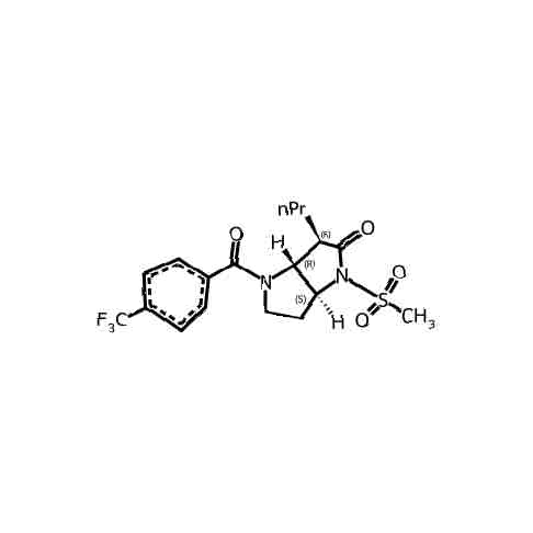 CCC[C@H]1C(=O)N(S(C)(=O)=O)[C@H]2CCN(C(=O)c3ccc(C(F)(F)F)cc3)[C@H]12